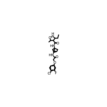 CCC1NOC(C)C1C(=O)NC12CC(C1)C(NC(=O)COc1ccc(Cl)c(F)c1)C2